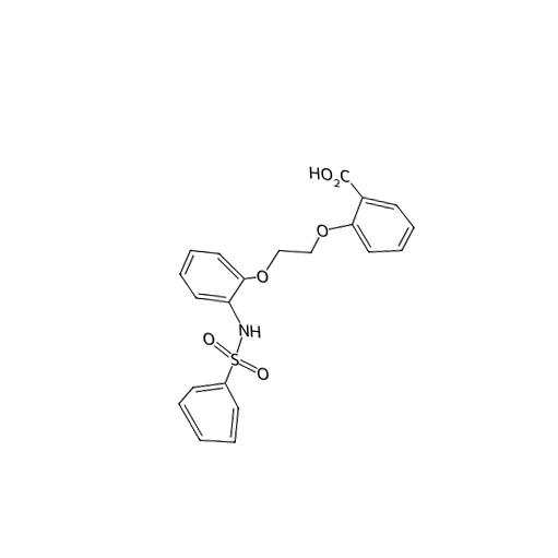 O=C(O)c1ccccc1OCCOc1ccccc1NS(=O)(=O)c1ccccc1